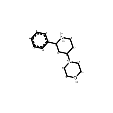 c1ccc(C2CC(N3CCOCC3)CCN2)cc1